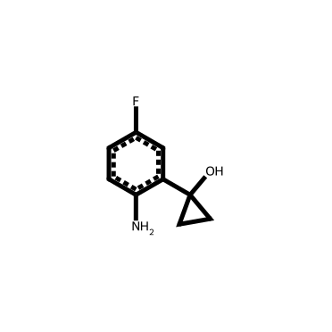 Nc1ccc(F)cc1C1(O)CC1